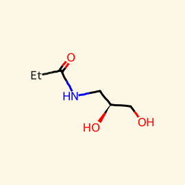 CCC(=O)NC[C@H](O)CO